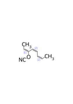 C\C=C/C=C\C(=C/C)OC#N